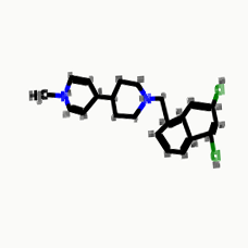 CN1C=CC(C2CCN(Cc3cccc4c(Cl)cc(Cl)cc34)CC2)C=C1